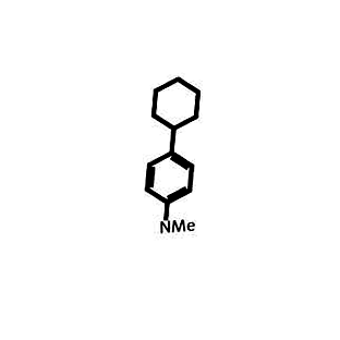 [CH2]Nc1ccc(C2CCCCC2)cc1